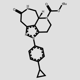 CC(C)(C)OC(=O)N1CCc2c3c(nn2-c2ccc(C4CC4)cc2)CC(=O)NC[C@@H]31